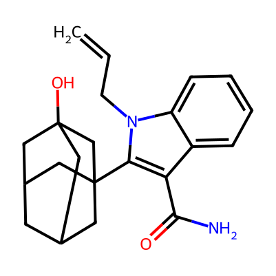 C=CCn1c(C23CC4CC(CC(O)(C4)C2)C3)c(C(N)=O)c2ccccc21